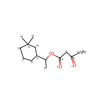 CCCC(=O)CC(=O)OC(C)C1CCCC(C)(C)C1